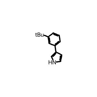 CC(C)(C)c1cccc(-c2cc[nH]c2)c1